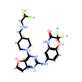 O=C1Nc2cc(Nc3nc(N4CCC(CNCC(F)F)CC4)c4occc4n3)ccc2OC1(F)F